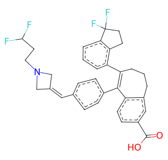 O=C(O)c1ccc2c(c1)CCCC(c1cccc3c1CCC3(F)F)=C2c1ccc(C=C2CN(CCC(F)F)C2)cc1